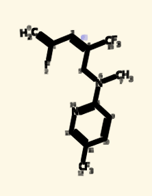 C=C(F)/C=C(\CN(C)c1ccc(C(F)(F)F)cn1)C(F)(F)F